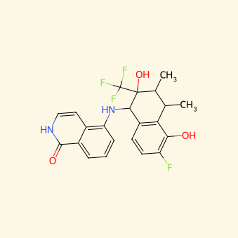 CC1c2c(ccc(F)c2O)C(Nc2cccc3c(=O)[nH]ccc23)C(O)(C(F)(F)F)C1C